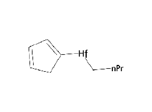 CCC[CH2][Hf][C]1=CC=CC1